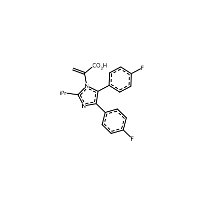 C=C(C(=O)O)n1c(C(C)C)nc(-c2ccc(F)cc2)c1-c1ccc(F)cc1